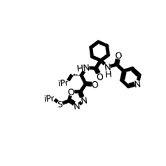 CC(C)C[C@H](NC(=O)C1(NC(=O)c2ccncc2)CCCCC1)C(=O)c1nnc(SC(C)C)o1